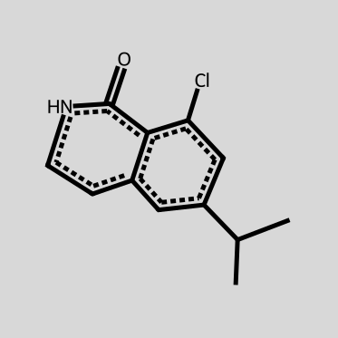 CC(C)c1cc(Cl)c2c(=O)[nH]ccc2c1